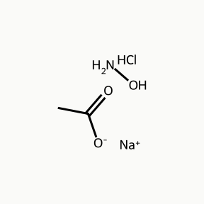 CC(=O)[O-].Cl.NO.[Na+]